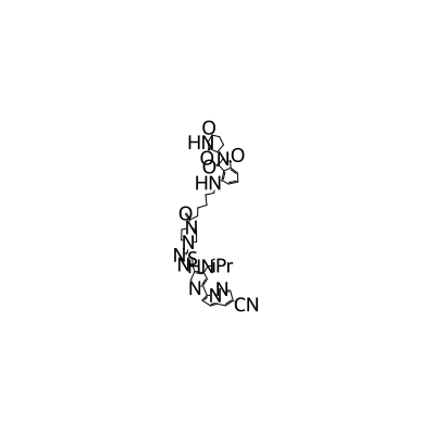 CC(C)Nc1cc(-c2ccc3cc(C#N)cnn23)ncc1-c1nnc(N2CCN(C(=O)CCCCCNc3cccc4c3C(=O)N(C3CCC(=O)NC3=O)C4=O)CC2)s1